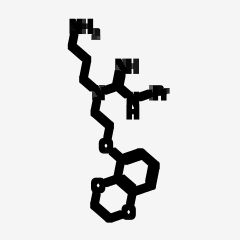 CC(C)NC(=N)N(CCCN)CCOc1cccc2c1OCCO2